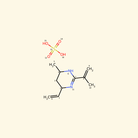 C=CC1CC(C)NC(C(=C)C)=N1.O=S(=O)(O)O